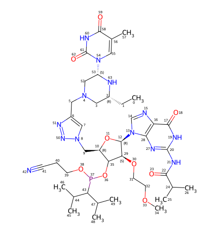 CC[C@@H]1CN(Cc2cn(C[C@H]3O[C@@H](n4cnc5c(=O)[nH]c(NC(=O)C(C)C)nc54)[C@@H](OCCOC)C3OP(OCCC#N)C(C(C)C)C(C)C)nn2)C[C@H](n2cc(C)c(=O)[nH]c2=O)N1